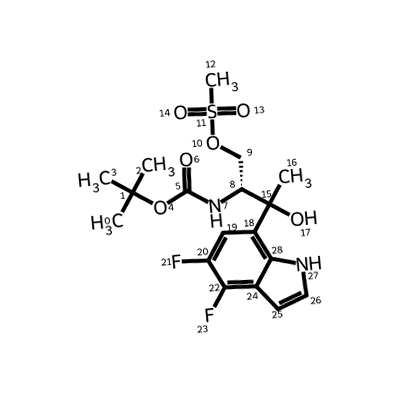 CC(C)(C)OC(=O)N[C@H](COS(C)(=O)=O)C(C)(O)c1cc(F)c(F)c2cc[nH]c12